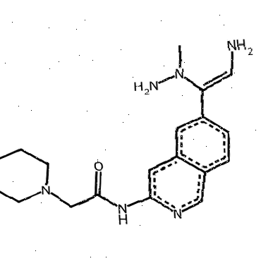 CN(N)/C(=C\N)c1ccc2cnc(NC(=O)CN3CCCCC3)cc2c1